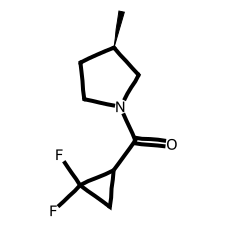 C[C@@H]1CCN(C(=O)C2CC2(F)F)C1